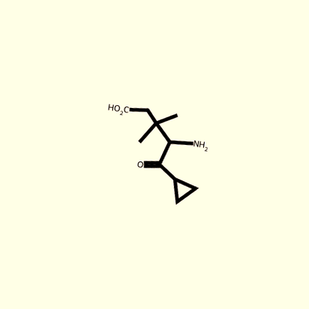 CC(C)(CC(=O)O)C(N)C(=O)C1CC1